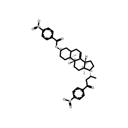 CC(CC(=O)c1ccc([N+](=O)[O-])cc1)[C@H]1CC[C@H]2C3=CCC4C[C@H](OC(=O)c5ccc([N+](=O)[O-])cc5)CC[C@]4(C)[C@H]3CC[C@]12C